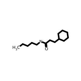 CCCCC[N]C(=O)CCC1CCCCC1